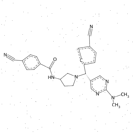 CN(C)c1ncc([C@@H](c2ccc(C#N)cc2)N2CCC(NC(=O)c3ccc(C#N)cc3)C2)cn1